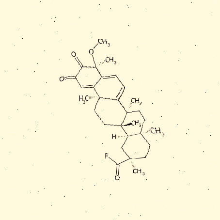 CO[C@]1(C)C(=O)C(=O)C=C2C1=CC=C1[C@@]2(C)CC[C@@]2(C)[C@@H]3C[C@](C)(C(=O)F)CC[C@]3(C)CC[C@]12C